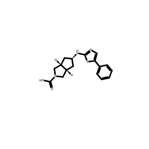 O=C(O)N1C[C@H]2C[C@H](Nc3ncc(-c4ccccc4)s3)C[C@H]2C1